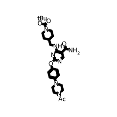 CC(=O)N1CCN(c2ccc(Oc3ncc(C(N)=O)c(NCC4CCN(C(=O)OC(C)(C)C)CC4)n3)cc2)CC1